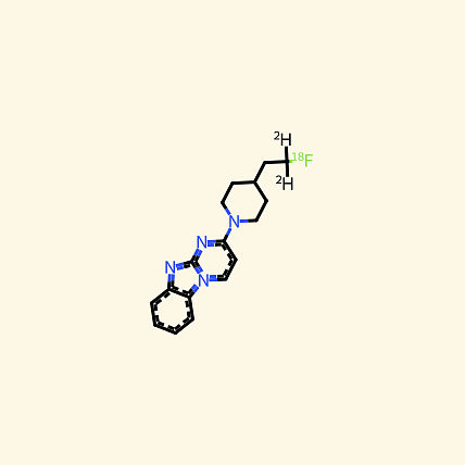 [2H]C([2H])([18F])CC1CCN(c2ccn3c(n2)nc2ccccc23)CC1